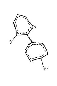 CC(C)c1ccc(-c2ncccc2Br)cc1